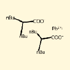 CCCCC(CCCC)C(=O)[O-].CCCCC(CCCC)C(=O)[O-].[Pb+2]